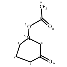 O=C1CCCN(OC(=O)C(F)(F)F)C1